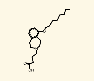 CCCCCCCCOc1cccc2c1CCN(CCCC(=O)O)CC2